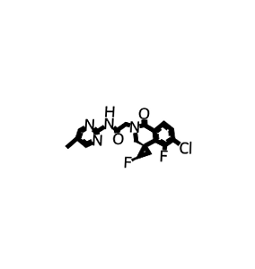 Cc1cnc(NC(=O)CN2C[C@]3(C[C@H]3F)c3c(ccc(Cl)c3F)C2=O)nc1